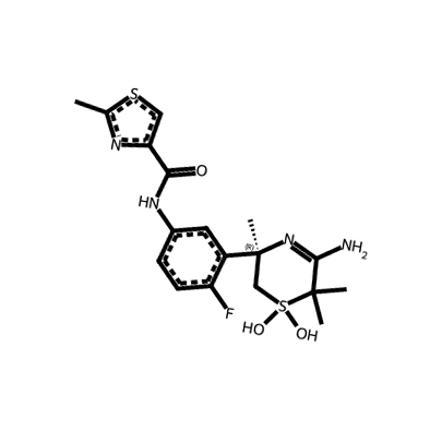 Cc1nc(C(=O)Nc2ccc(F)c([C@]3(C)CS(O)(O)C(C)(C)C(N)=N3)c2)cs1